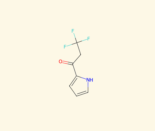 O=C(CC(F)(F)F)c1ccc[nH]1